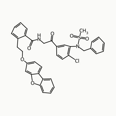 CS(=O)(=O)N(Cc1ccccc1)c1cc(C(=O)CNC(=O)c2ccccc2CCOc2ccc3c(c2)oc2ccccc23)ccc1Cl